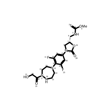 COC(=S)NC[C@H]1CN(c2cc(F)c(N3CCNN(C(=O)CO)CC3)c(F)c2)C(=O)O1